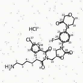 Cl.NCCCCCC(=O)N(C[C@H]1CN(c2ccc(N3CCOCC3=O)cc2F)C(=O)O1)C(=O)c1ccc(Cl)s1